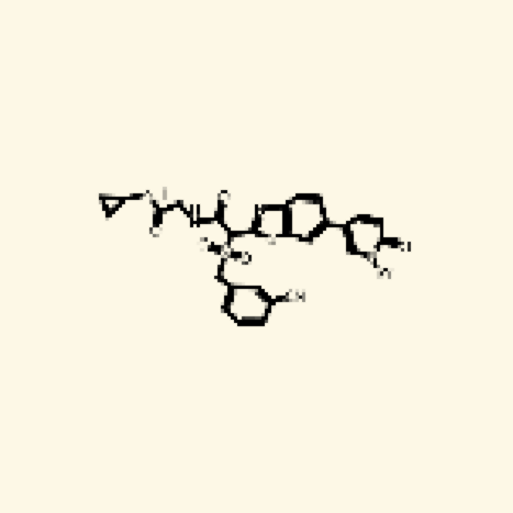 CC(C)n1cc(-c2ccc3nc(C(C(=O)NCC(=O)NC4CC4)S(=O)(=O)Cc4cccc(C#N)c4)sc3c2)ccc1=O